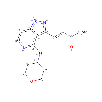 COC(=O)C=Cc1n[nH]c2ccnc(NC3CCOCC3)c12